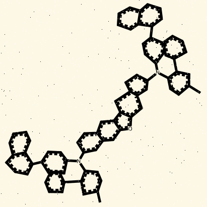 Cc1ccc(N(c2ccc(-c3cccc4ccccc34)cc2)c2ccc3cc4c(cc3c2)oc2cc3cc(N(c5ccc(-c6cccc7ccccc67)cc5)c5ccc(C)cc5-c5ccccc5)ccc3cc24)c(-c2ccccc2)c1